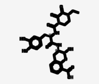 CCN1CCN(C(=O)N[C@H](Cc2ccc(O)c(O)c2)C(=O)N[C@H]2Cc3cccc(C(=O)O)c3OB2O)C(=O)C1=O